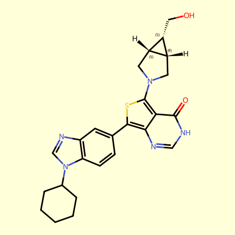 O=c1[nH]cnc2c(-c3ccc4c(c3)ncn4C3CCCCC3)sc(N3C[C@@H]4[C@H](CO)[C@@H]4C3)c12